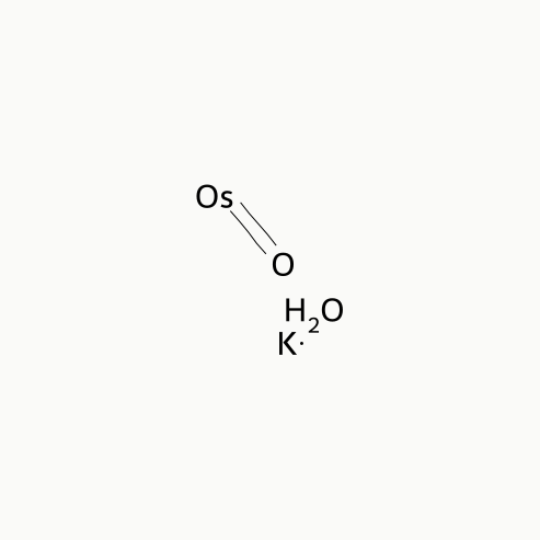 O.[K].[O]=[Os]